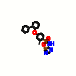 Cc1cc(Oc2ccccc2-c2ccccc2)ccc1S(=O)(=O)Nc1ncns1